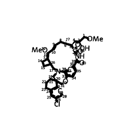 COC[C@@H](O)C[C@@H]1[C@@H](C)C/C=C/[C@H](OC)C2CCC2CN2C[C@@]3(CCCc4cc(Cl)ccc43)COc3ccc(cc32)C(=O)NS1(=O)=O